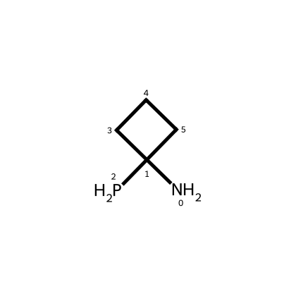 NC1(P)CCC1